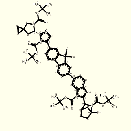 CC(C)(C)OC(=O)N1CC2(CC2)C[C@H]1c1ncc(-c2ccc3c(c2)C(F)(F)c2cc(-c4ccc5nc(C6C7CC[C@H](C7)N6C(=O)OC(C)(C)C)n(C(=O)OC(C)(C)C)c5c4)ccc2-3)n1C(=O)OC(C)(C)C